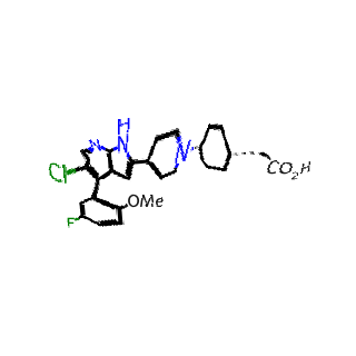 COc1ccc(F)cc1-c1c(Cl)cnc2[nH]c(C3=CCN([C@H]4CC[C@@H](CC(=O)O)CC4)CC3)cc12